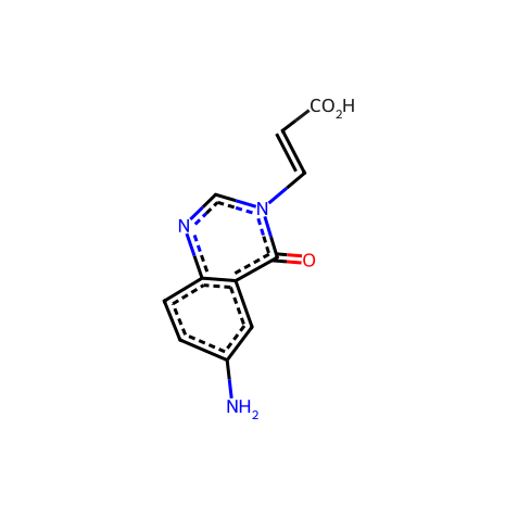 Nc1ccc2ncn(/C=C/C(=O)O)c(=O)c2c1